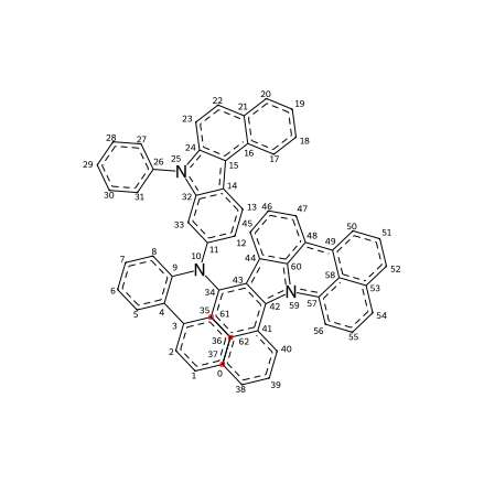 c1ccc(-c2ccccc2N(c2ccc3c4c5ccccc5ccc4n(-c4ccccc4)c3c2)c2cc3ccccc3c3c2c2cccc4c5cccc6cccc(c65)n3c42)cc1